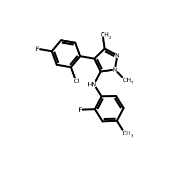 Cc1ccc(Nc2c(-c3ccc(F)cc3Cl)c(C)nn2C)c(F)c1